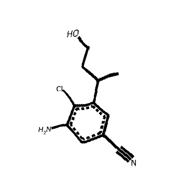 CC(CCO)c1cc(C#N)cc(N)c1Cl